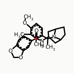 COc1ccc(C(C)N2C3CCC2CC(NC(=O)c2ccc4c(c2)OCO4)C3)c(C)c1C